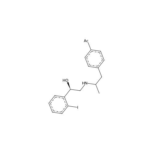 CC(=O)c1ccc(CC(C)NC[C@H](O)c2ccccc2I)cc1